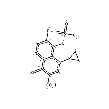 O=C(O)c1cn(C2CC2)c2c(OS(=O)(=O)C(F)(F)F)c(F)cnc2c1=O